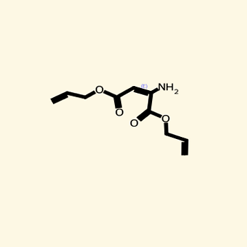 C=CCOC(=O)/C=C(/N)C(=O)OCC=C